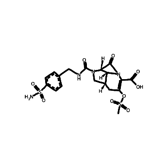 CS(=O)(=O)OC1=C(C(=O)O)N2C(=O)[C@@H]3[C@H]2[C@H](C1)CN3C(=O)NCc1ccc(S(N)(=O)=O)cc1